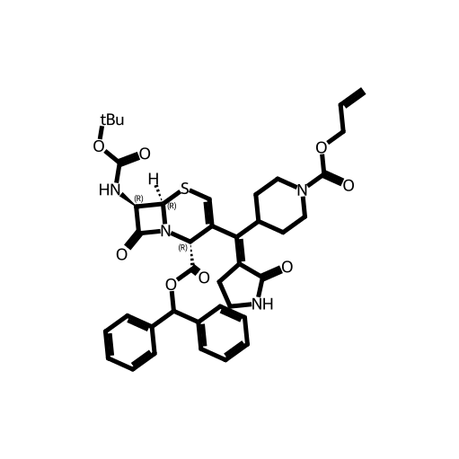 C=CCOC(=O)N1CCC(C(C2=CS[C@@H]3[C@H](NC(=O)OC(C)(C)C)C(=O)N3[C@H]2C(=O)OC(c2ccccc2)c2ccccc2)=C2CCNC2=O)CC1